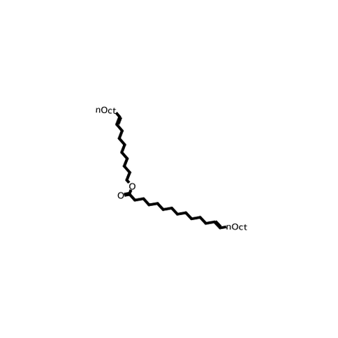 CCCCCCCCC=CCCCCCCCCCCCC(=O)OCCCCCCCCC=CCCCCCCCC